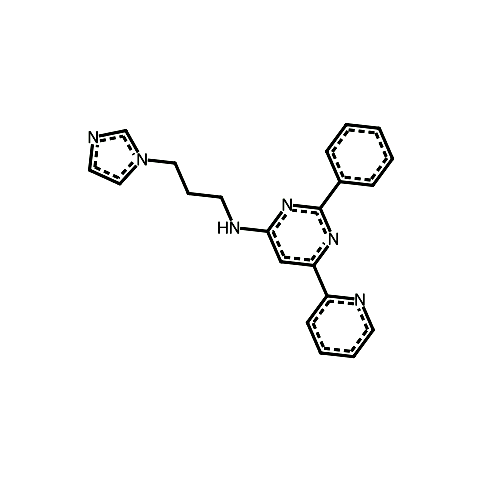 c1ccc(-c2nc(NCCCn3ccnc3)cc(-c3ccccn3)n2)cc1